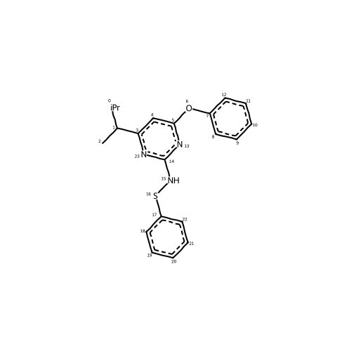 CC(C)C(C)c1cc(Oc2ccccc2)nc(NSc2ccccc2)n1